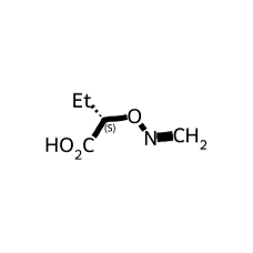 C=NO[C@@H](CC)C(=O)O